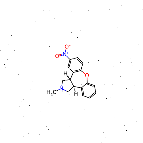 CN1C[C@@H]2c3ccccc3Oc3ccc([N+](=O)[O-])cc3[C@H]2C1